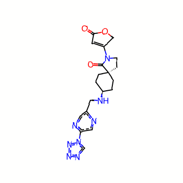 O=C1C=C(N2CC[C@]3(CC[C@H](NCc4cnc(-n5cnnn5)cn4)CC3)C2=O)CO1